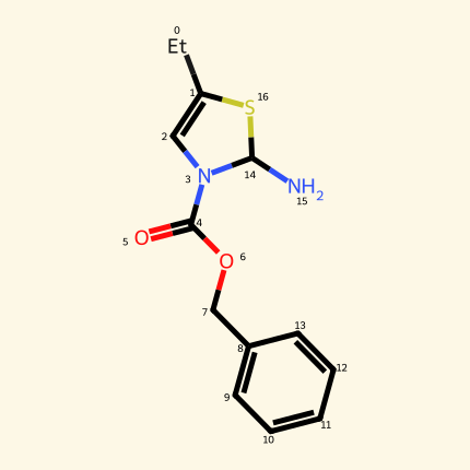 CCC1=CN(C(=O)OCc2ccccc2)C(N)S1